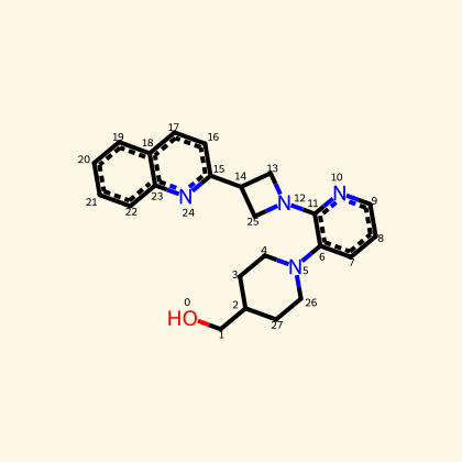 OCC1CCN(c2cccnc2N2CC(c3ccc4ccccc4n3)C2)CC1